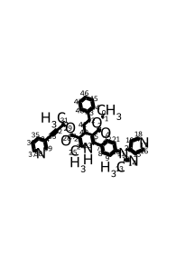 CCOC(=O)C1=C(c2ccc(-n3c(C)nc4cnccc43)cc2)NC(C)=C(C(=O)OC(C)C#Cc2cccnc2)C1CCc1ccccc1